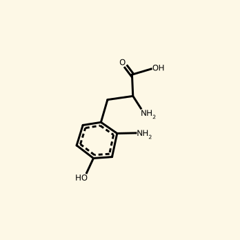 Nc1cc(O)ccc1CC(N)C(=O)O